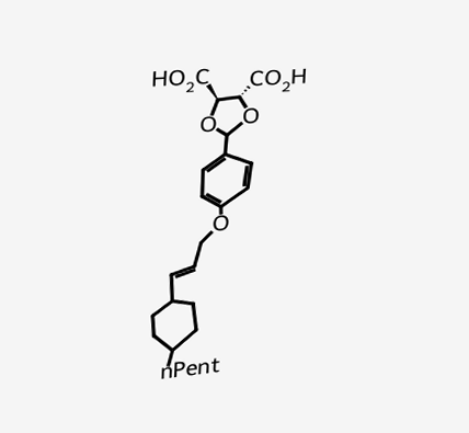 CCCCCC1CCC(/C=C/COc2ccc(C3O[C@@H](C(=O)O)[C@H](C(=O)O)O3)cc2)CC1